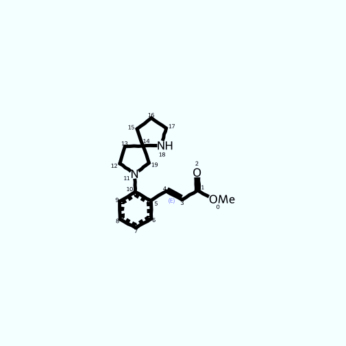 COC(=O)/C=C/c1ccccc1N1CCC2(CCCN2)C1